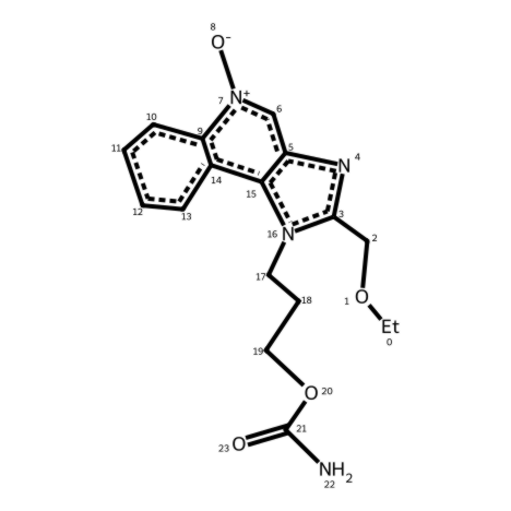 CCOCc1nc2c[n+]([O-])c3ccccc3c2n1CCCOC(N)=O